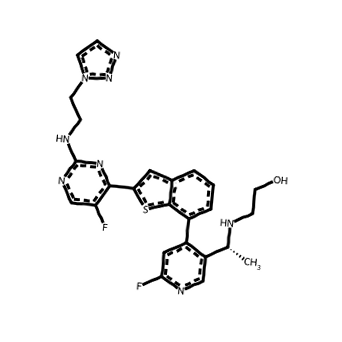 C[C@@H](NCCO)c1cnc(F)cc1-c1cccc2cc(-c3nc(NCCn4ccnn4)ncc3F)sc12